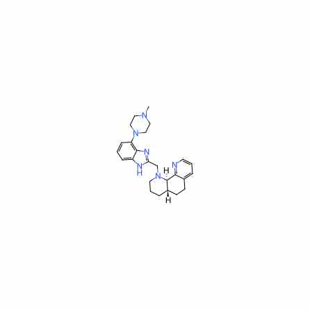 CN1CCN(c2cccc3[nH]c(CN4CCC[C@H]5CCc6cccnc6[C@@H]54)nc23)CC1